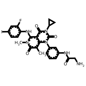 Cc1c(=O)n(C)c(Nc2ccc(I)cc2F)c2c(=O)n(C3CC3)c(=O)n(-c3cccc(NC(=O)CN)c3)c12